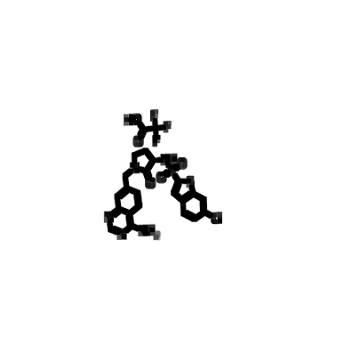 Nc1ncnc2cc(CN3CC[C@@H](NS(=O)(=O)c4cc5ccc(Cl)cc5s4)C3=O)ccc12.O=C(O)C(F)(F)F